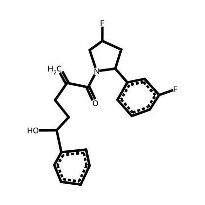 C=C(CCC(O)c1ccccc1)C(=O)N1CC(F)CC1c1cccc(F)c1